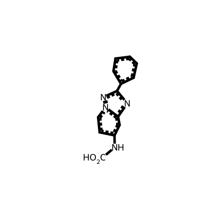 O=C(O)Nc1ccn2nc(-c3ccccc3)nc2c1